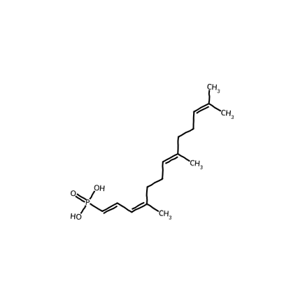 CC(C)=CCC/C(C)=C/CC/C(C)=C\C=C\P(=O)(O)O